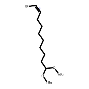 CC/C=C\CCCCCCCC(OCCCC)OCCCC